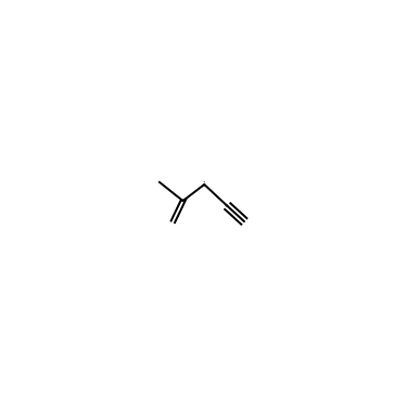 C#C[CH]C(=C)C